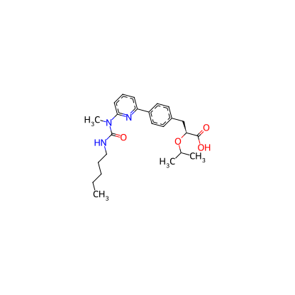 CCCCCNC(=O)N(C)c1cccc(-c2ccc(C[C@H](OC(C)C)C(=O)O)cc2)n1